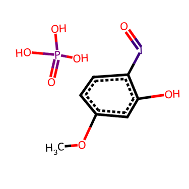 COc1ccc(I=O)c(O)c1.O=P(O)(O)O